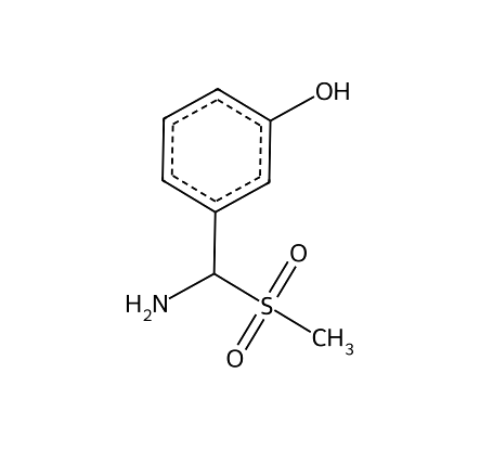 CS(=O)(=O)C(N)c1cccc(O)c1